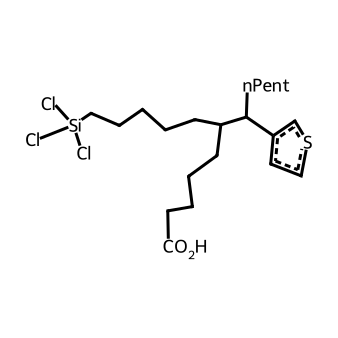 CCCCCC(c1ccsc1)C(CCCCC[Si](Cl)(Cl)Cl)CCCCC(=O)O